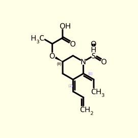 C=C/C=C1/C[C@@H](OC(C)C(=O)O)CN([SH](=O)=O)/C1=C/C